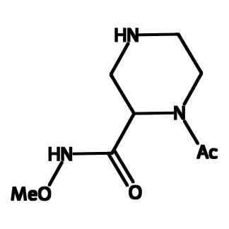 CONC(=O)C1CNCCN1C(C)=O